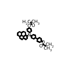 C=C(C)C(=O)Oc1ccc(-c2ccc(N(c3ccc(OC(=O)C(=C)C)cc3)c3ccc4ccc5c6c4c3CC=C6CC=C5)cc2)cc1